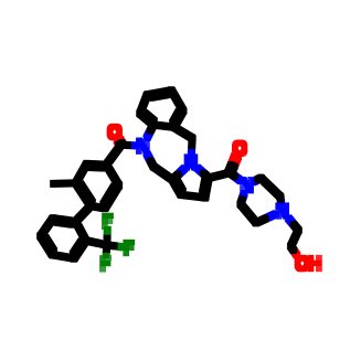 Cc1cc(C(=O)N2Cc3ccc(C(=O)N4CCN(CCO)CC4)n3Cc3ccccc32)ccc1-c1ccccc1C(F)(F)F